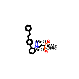 COP(=O)(OC)C(CCNC1CC=CCC1c1ccc(C=Cc2ccccc2)cc1)P(=O)(OC)OC